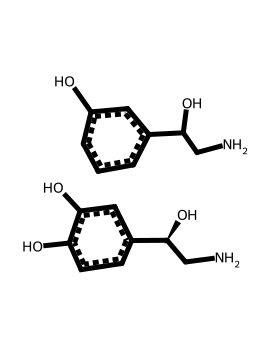 NCC(O)c1cccc(O)c1.NC[C@H](O)c1ccc(O)c(O)c1